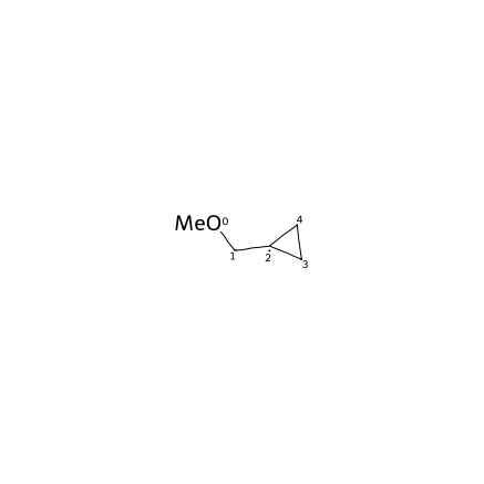 COC[C]1CC1